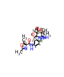 Cc1nc(C(=O)Nc2ccc(F)c([C@]34COC[C@H]3S(=O)(=O)C(C)(C)C(=N)N4)c2)c(C)o1